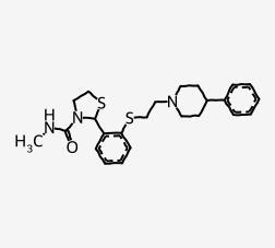 CNC(=O)N1CCSC1c1ccccc1SCCN1CCC(c2ccccc2)CC1